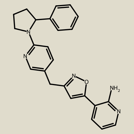 Nc1ncccc1-c1cc(Cc2ccc(N3CCCC3c3ccccc3)nc2)no1